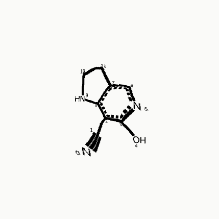 N#Cc1c(O)ncc2c1NCC2